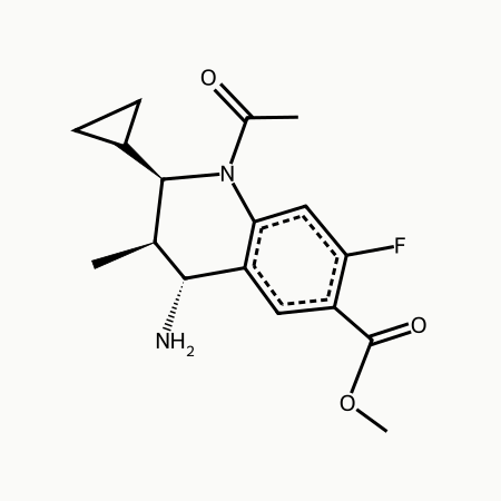 COC(=O)c1cc2c(cc1F)N(C(C)=O)[C@H](C1CC1)[C@H](C)[C@H]2N